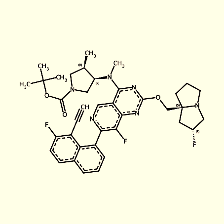 C#Cc1c(F)ccc2cccc(-c3ncc4c(N(C)[C@H]5CN(C(=O)OC(C)(C)C)C[C@H]5C)nc(OC[C@@]56CCCN5C[C@H](F)C6)nc4c3F)c12